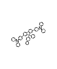 COC1C=CC(C2(c3ccccc3)c3cc(C4=CCC(N(C5=CC=CCC5)c5ccccc5)C=C4)ccc3-c3ccc(-c4ccc(N(c5ccccc5)C5C=CC=CC5)cc4)cc32)=CC1